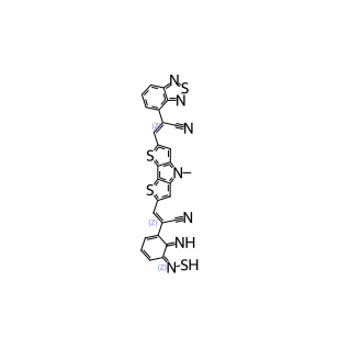 Cn1c2cc(/C=C(\C#N)C3=CC=C/C(=N/S)C3=N)sc2c2sc(/C=C(\C#N)c3cccc4nsnc34)cc21